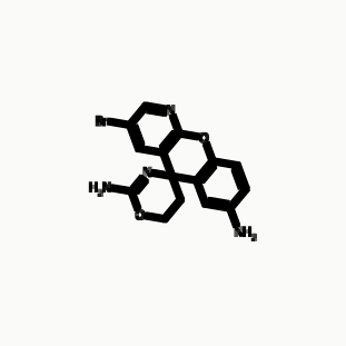 NC1=NC2(CCO1)c1cc(N)ccc1Oc1ncc(Br)cc12